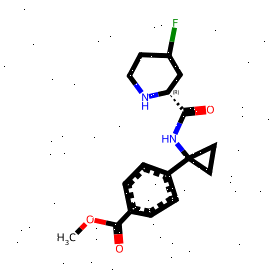 COC(=O)c1ccc(C2(NC(=O)[C@H]3CC(F)CCN3)CC2)cc1